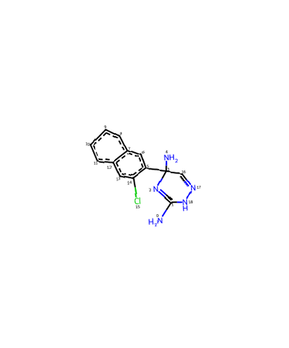 NC1=NC(N)(c2cc3ccccc3cc2Cl)C=NN1